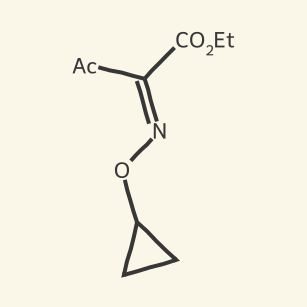 CCOC(=O)C(=NOC1CC1)C(C)=O